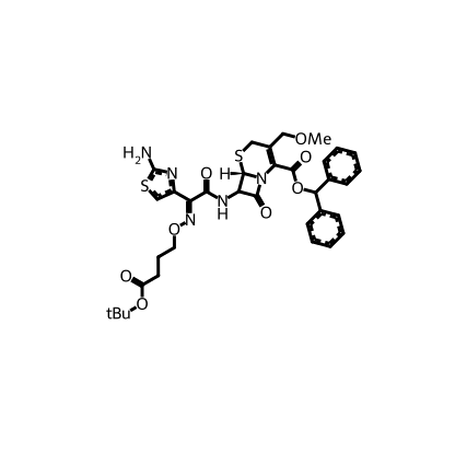 COCC1=C(C(=O)OC(c2ccccc2)c2ccccc2)N2C(=O)C(NC(=O)C(=NOCCCC(=O)OC(C)(C)C)c3csc(N)n3)[C@@H]2SC1